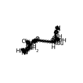 Cc1ncsc1-c1ccc(CNC(=O)[C@@H]2C[C@@H](O)CN2C(=O)C(NC(=O)CCCCCCCCCCCC(=O)N2CCN(CC[C@H](NC(=O)C3(N)CCN(c4ncnc5[nH]ccc45)CC3)c3ccc(Cl)cc3)CC2)C(C)(C)C)cc1